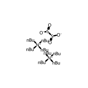 CCCC[N+](CCCC)(CCCC)CCCC.CCCC[N+](CCCC)(CCCC)CCCC.O=S([O-])S(=O)[O-]